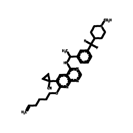 C=CCCCCOc1nc2ncnc(NC(C)c3cccc(C(F)(F)C4CCN(C(=O)O)CC4)c3)c2cc1C1(C#N)CC1